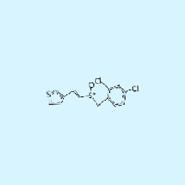 [O-][S+](C=Cc1ccsc1)Cc1ccc(Cl)cc1Cl